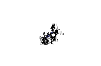 CCOC(C)O[C@]1(C)CC[C@@H](O[Si](CC)(CC)CC)CC(=O)O[C@H](/C(C)=C/C=C/[C@@](C)(C[C@@H]2O[C@H]2[C@H](C)[C@H](CC)O[Si](CC)(CC)CC)O[Si](CC)(CC)CC)[C@@H](C)/C=C/[C@@H]1OC(=O)N1CCN(C)CC1